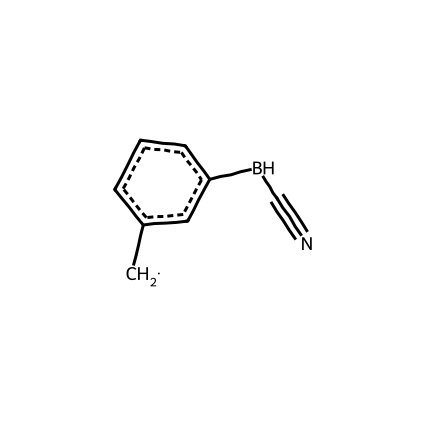 [CH2]c1cccc(BC#N)c1